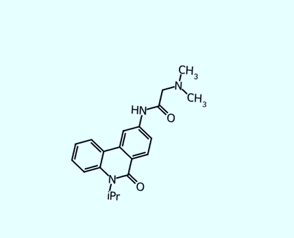 CC(C)n1c(=O)c2ccc(NC(=O)CN(C)C)cc2c2ccccc21